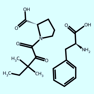 CCC(C)(C)C(=O)C(=O)N1CCC[C@H]1C(=O)O.N[C@@H](Cc1ccccc1)C(=O)O